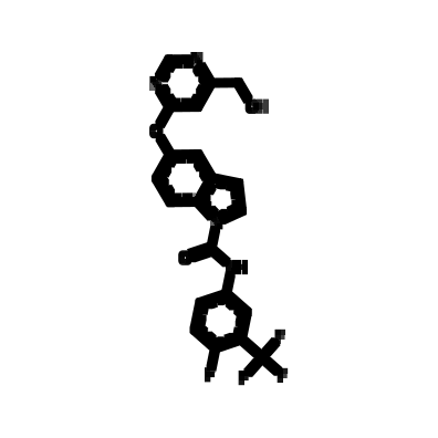 O=C(Nc1ccc(F)c(C(F)(F)F)c1)n1ccc2cc(Oc3cc(CO)ncn3)ccc21